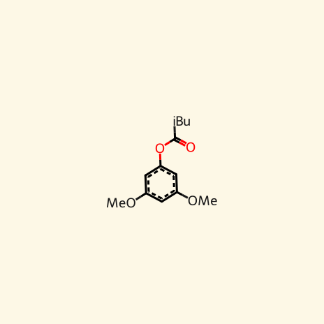 CCC(C)C(=O)Oc1cc(OC)cc(OC)c1